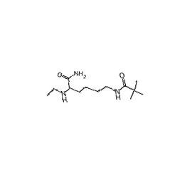 CCNC(CCCCNC(=O)C(C)(C)C)C(N)=O